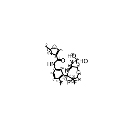 Cc1nc(C(=O)Nc2ccc(F)c([C@@]3(C)N=C(N)COCC3(F)F)c2)co1.O=CO